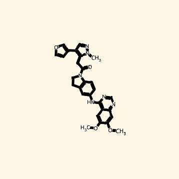 COc1cc2ncnc(Nc3ccc4c(c3)CCN4C(=O)Cc3c(-c4ccoc4)cnn3C)c2cc1OC